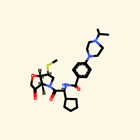 CS[C@H]1CN(C(=O)[C@@H](NC(=O)c2ccc(N3CCN(C(C)C)CC3)cc2)C2CCCC2)[C@@H]2C(=O)CO[C@H]12